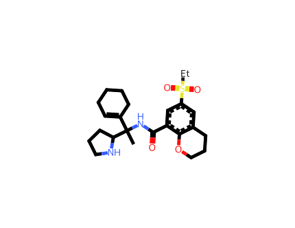 CCS(=O)(=O)c1cc2c(c(C(=O)NC(C)(C3=CCCCC3)C3CCCN3)c1)OCCC2